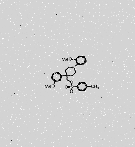 COc1cccc(C2(COS(=O)(=O)c3ccc(C)cc3)CCN(c3ccccc3OC)CC2)c1